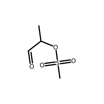 CC(C=O)OS(C)(=O)=O